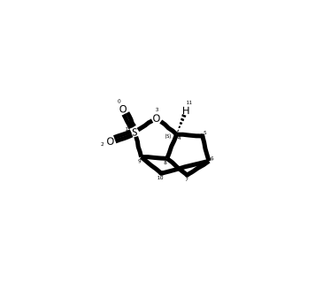 O=S1(=O)O[C@H]2CC3CC2C1C3